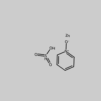 O=[SH](=O)O.[O-][n+]1ccccc1.[Zn]